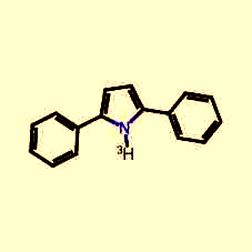 [3H]n1c(-c2ccccc2)ccc1-c1ccccc1